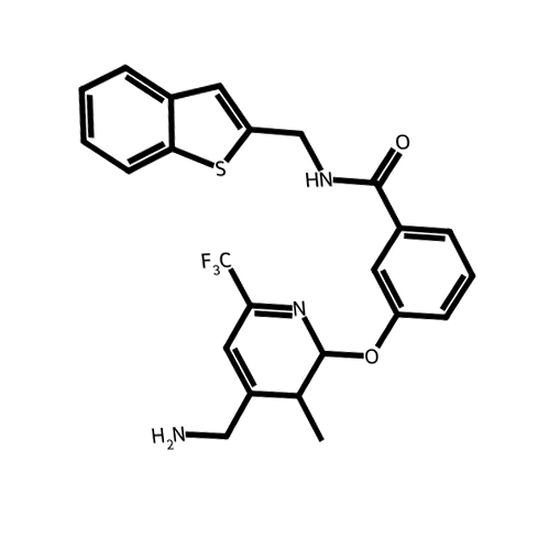 CC1C(CN)=CC(C(F)(F)F)=NC1Oc1cccc(C(=O)NCc2cc3ccccc3s2)c1